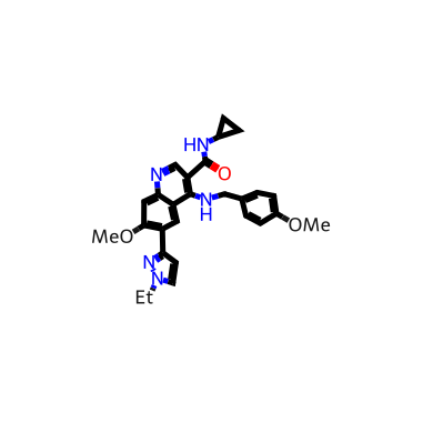 CCn1ccc(-c2cc3c(NCc4ccc(OC)cc4)c(C(=O)NC4CC4)cnc3cc2OC)n1